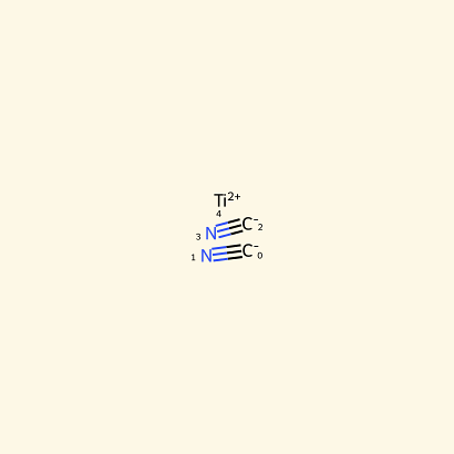 [C-]#N.[C-]#N.[Ti+2]